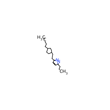 CCCCCC1CCC(CCc2ccc(CCC)nn2)CC1